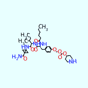 CCCCCC(=O)NC(Cc1ccc(OCOC(=O)OC2CCNCC2)cc1)C(=O)NC(C(=O)NC12CC1(C(N)=O)C2)C(C)CC